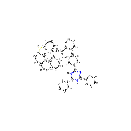 c1ccc(-c2nc(-c3ccccc3)nc(-c3ccc(-c4ccccc4-c4ccc5c(ccc6ccc7ccc8sc9ccccc9c8c7c65)c4)cc3)n2)cc1